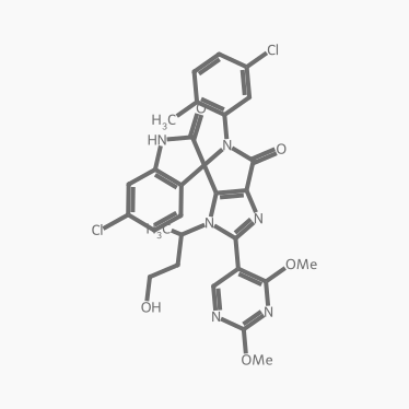 COc1ncc(-c2nc3c(n2C(C)CCO)C2(C(=O)Nc4cc(Cl)ccc42)N(c2cc(Cl)ccc2C)C3=O)c(OC)n1